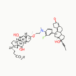 CC#C[C@@]1(O)CCC2C3CCC4=CC(=O)CCC4=C3[C@H](c3ccc(N(C)CCO[C@@]4(C)CC[C@@]5(C)[C@H](C[C@@H](O)[C@@H]6[C@@H]5C[C@H](O)[C@]5(C)[C@@H]([C@H](C)CCC(=O)O)CC[C@@H]65)C4)c(F)c3)C[C@@]21C